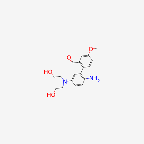 COc1ccc(-c2cc(N(CCO)CCO)ccc2N)c(C=O)c1